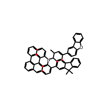 CC1C=C(c2ccc3oc4ccccc4c3c2)C=CC1N(c1ccccc1-c1ccc2c(c1)C(C)(C)c1ccccc1-2)c1ccccc1-c1cccc2cccc(-c3ccccc3)c12